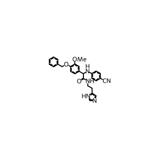 COc1cc(C(Nc2ccc(C#N)cc2)C(=O)NCCc2cnc[nH]2)ccc1OCc1ccccc1